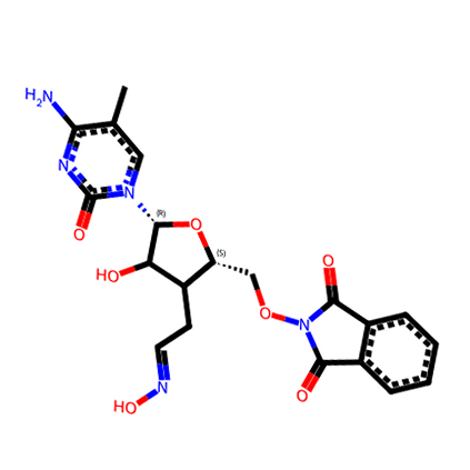 Cc1cn([C@@H]2O[C@H](CON3C(=O)c4ccccc4C3=O)C(CC=NO)C2O)c(=O)nc1N